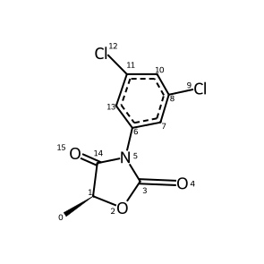 C[C@@H]1OC(=O)N(c2cc(Cl)cc(Cl)c2)C1=O